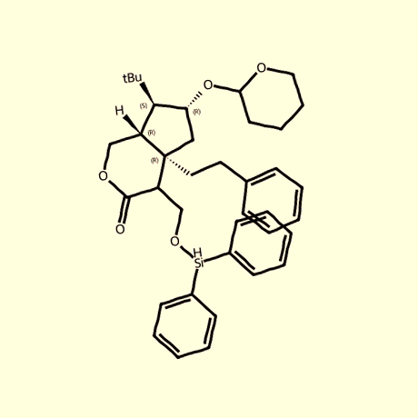 CC(C)(C)[C@@H]1[C@H]2COC(=O)C(CO[SiH](c3ccccc3)c3ccccc3)[C@]2(CCc2ccccc2)C[C@H]1OC1CCCCO1